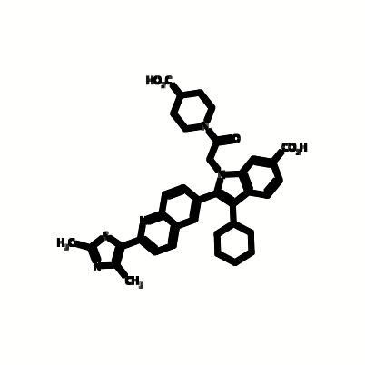 Cc1nc(C)c(-c2ccc3cc(-c4c(C5CCCCC5)c5ccc(C(=O)O)cc5n4CC(=O)N4CCC(C(=O)O)CC4)ccc3n2)s1